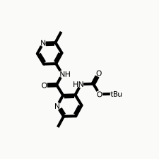 Cc1cc(NC(=O)c2nc(C)ccc2NC(=O)OC(C)(C)C)ccn1